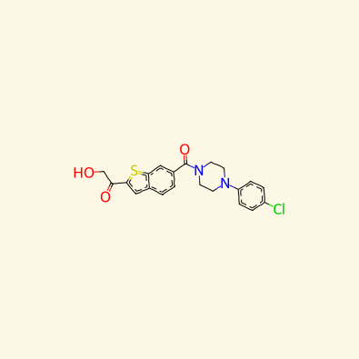 O=C(CO)c1cc2ccc(C(=O)N3CCN(c4ccc(Cl)cc4)CC3)cc2s1